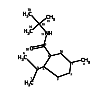 CC1CCC(C(C)C)C(C(=O)NC(C)(C)C)C1